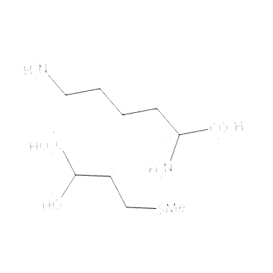 CSCCC(O)C(=O)O.NCCCCC(N)C(=O)O